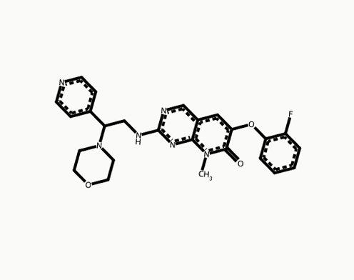 Cn1c(=O)c(Oc2ccccc2F)cc2cnc(NCC(c3ccncc3)N3CCOCC3)nc21